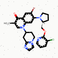 O=C(O)c1cn(C2CCn3ccnc3C2)c2cc(N3CCC[C@@H]3COc3ncccc3Cl)c(Br)cc2c1=O